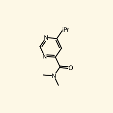 CC(C)c1cc(C(=O)N(C)C)ncn1